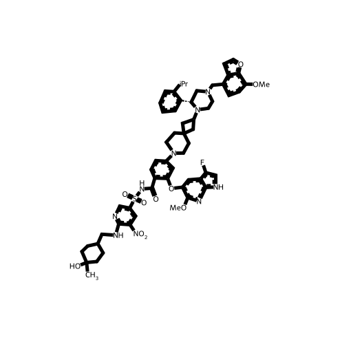 COc1nc2[nH]cc(F)c2cc1Oc1cc(N2CCC3(CC2)CC(N2CCN(Cc4ccc(OC)c5occc45)C[C@H]2c2ccccc2C(C)C)C3)ccc1C(=O)NS(=O)(=O)c1cnc(NCC2CCC(C)(O)CC2)c([N+](=O)[O-])c1